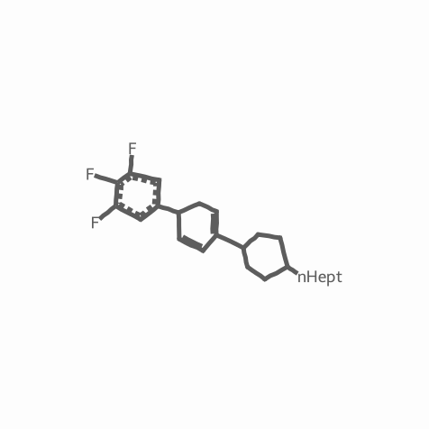 CCCCCCCC1CCC(C2=CCC(c3cc(F)c(F)c(F)c3)C=C2)CC1